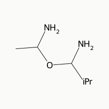 CC(N)OC(N)C(C)C